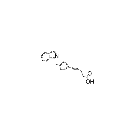 O=C(O)CCC#Cc1ccc(Cc2nccc3ccccc23)cc1